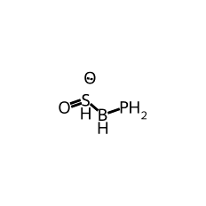 O=[SH](=O)BP